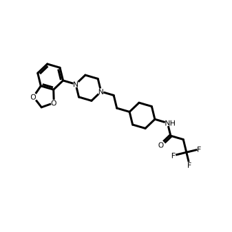 O=C(CC(F)(F)F)NC1CCC(CCN2CCN(c3cccc4c3OCO4)CC2)CC1